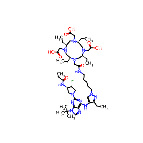 C=CC(=O)N[C@@H]1CN(c2nc(Nc3cn(CCCCCNC(=O)CN4C[C@H](CC)N(CC(=O)O)C[C@H](CC)N(CC(=O)O)C[C@H](CC)N(CC(=O)O)C[C@@H]4CC)nc3CC)c3ncn(C(C)(C)C)c3n2)C[C@H]1F